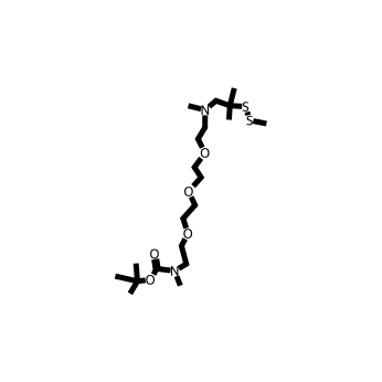 CSSC(C)(C)CN(C)CCOCCOCCOCCN(C)C(=O)OC(C)(C)C